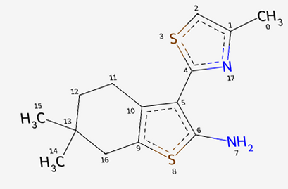 Cc1csc(-c2c(N)sc3c2CCC(C)(C)C3)n1